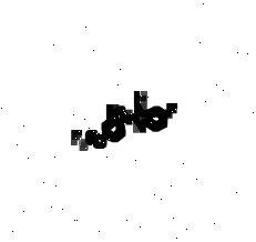 Fc1ccc2nc(-n3cnc4cc(OC(F)(F)F)ccc43)[nH]c2c1